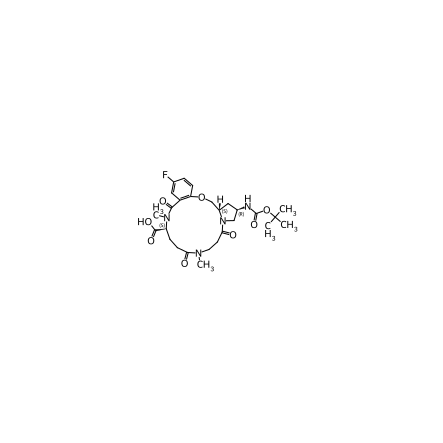 CN1CCC(=O)N2C[C@H](NC(=O)OC(C)(C)C)C[C@H]2COc2ccc(F)cc2C(=O)N(C)[C@H](C(=O)O)CCC1=O